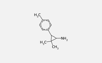 Cc1ccc(C2C(N)C2(C)C)cc1